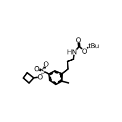 Cc1ccc(S(=O)(=O)OC2CCC2)cc1CCCNC(=O)OC(C)(C)C